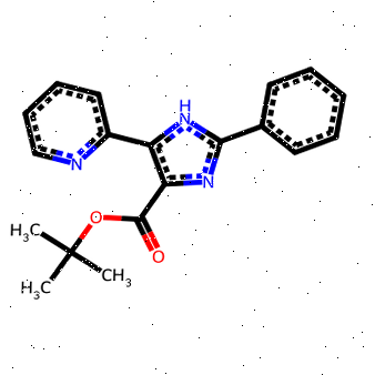 CC(C)(C)OC(=O)c1nc(-c2ccccc2)[nH]c1-c1ccccn1